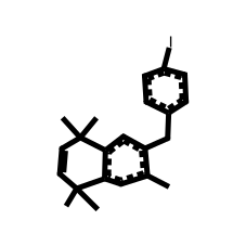 Cc1cc2c(cc1Cc1ccc(I)cc1)C(C)(C)C=CC2(C)C